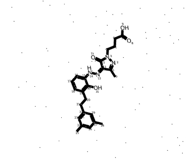 CC1=NN(CCCC(=O)O)C(=O)/C1=N\Nc1cccc(CCc2cc(C)cc(C)c2)c1O